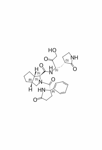 O=C1CC[C@](C(=O)N2C[C@@H]3CCC[C@@H]3[C@H]2C(=O)N[C@@H](C[C@@H]2CCNC2=O)C(=O)CO)(c2ccccc2)N1